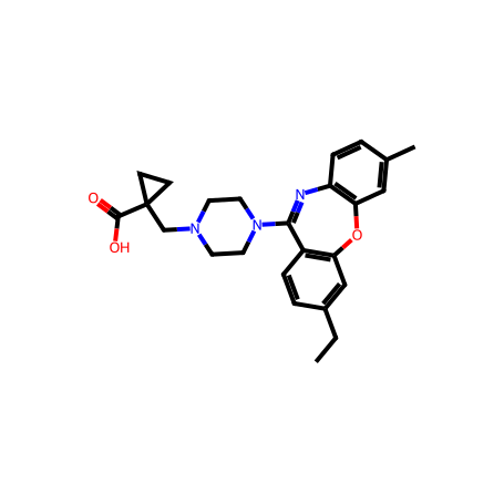 CCc1ccc2c(c1)Oc1cc(C)ccc1N=C2N1CCN(CC2(C(=O)O)CC2)CC1